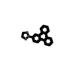 c1ccc2c(c1)c1ccccc1c1cc(B3OCCO3)ccc21